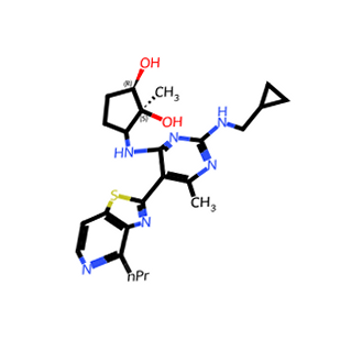 CCCc1nccc2sc(-c3c(C)nc(NCC4CC4)nc3NC3CC[C@@H](O)[C@@]3(C)O)nc12